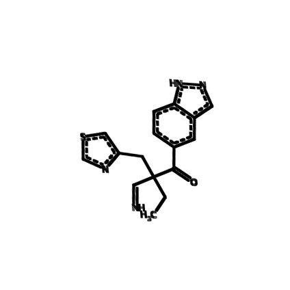 CCC(C=N)(Cc1cscn1)C(=O)c1ccc2[nH]ncc2c1